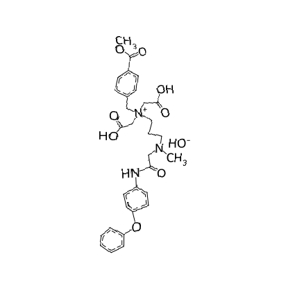 COC(=O)c1ccc(C[N+](CCCN(C)CC(=O)Nc2ccc(Oc3ccccc3)cc2)(CC(=O)O)CC(=O)O)cc1.[OH-]